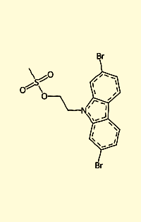 CS(=O)(=O)OCCn1c2cc(Br)ccc2c2ccc(Br)cc21